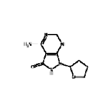 NC1=NCNc2c1c(=O)[nH]n2C1CCCO1